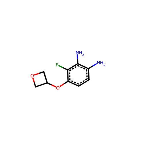 Nc1ccc(OC2COC2)c(F)c1N